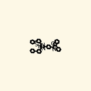 c1ccc(-c2cccc(-c3nc(-c4ccc(-c5nc6ccccc6c6c5oc5ccccc56)cc4)nc(-c4cccc5c4sc4ccccc45)n3)c2)cc1